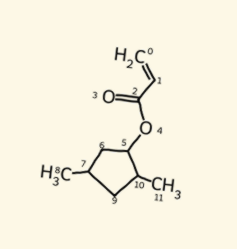 C=CC(=O)OC1CC(C)CC1C